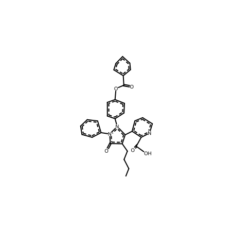 CCCCc1c(-c2cccnc2C(=O)O)n(-c2ccc(OC(=O)c3ccccc3)cc2)n(-c2ccccc2)c1=O